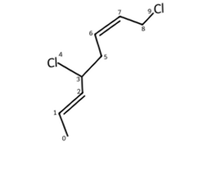 C/C=C/C(Cl)C/C=C\CCl